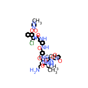 CC(C)C[C@H](NC(=O)[C@@H](NC(=O)CN1C(=O)C=CC1=O)C(C)C)C(=O)N[C@@H](CCCCN)C(=O)Nc1ccc(C(=O)Nc2ccc3[nH]c(C(=O)N4C[C@@H](CCl)c5c4cc(OC(=O)N4CCN(C)CC4)c4ccccc54)cc3c2)cc1